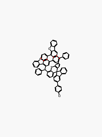 Clc1ccc(-c2ccc3c(c2)-c2ccccc2C32c3ccc(N(c4ccccc4)c4cc(-c5ccccc5)c5oc6ccccc6c5c4)cc3Sc3c(N(c4ccccc4)c4cc(-c5ccccc5)cc5oc6ccccc6c45)cccc32)cc1